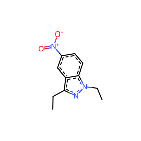 CCc1nn(CC)c2ccc([N+](=O)[O-])cc12